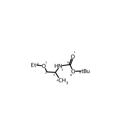 CCOCC(C)NC(=O)OC(C)(C)C